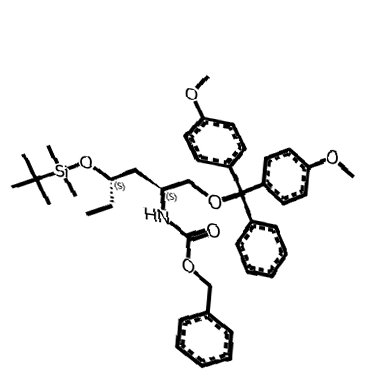 CC[C@@H](C[C@@H](COC(c1ccccc1)(c1ccc(OC)cc1)c1ccc(OC)cc1)NC(=O)OCc1ccccc1)O[Si](C)(C)C(C)(C)C